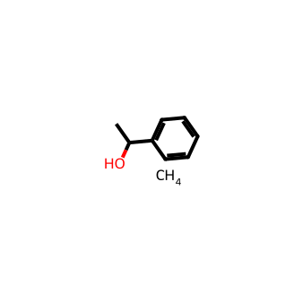 C.CC(O)c1ccccc1